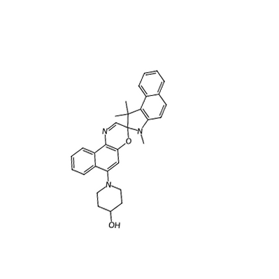 CN1c2ccc3ccccc3c2C(C)(C)C12C=Nc1c(cc(N3CCC(O)CC3)c3ccccc13)O2